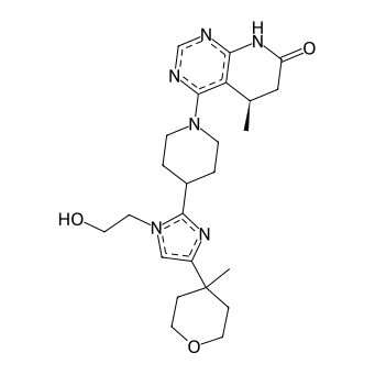 C[C@@H]1CC(=O)Nc2ncnc(N3CCC(c4nc(C5(C)CCOCC5)cn4CCO)CC3)c21